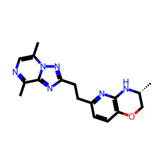 Cc1ncc(C)n2nc(CCc3ccc4c(n3)N[C@H](C)CO4)nc12